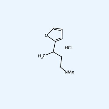 CNCCC(C)c1ccco1.Cl